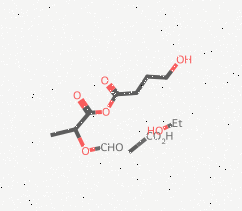 CC(=O)O.CC(OC=O)C(=O)OC(=O)CCCO.CCO